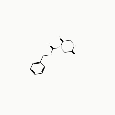 O=C1CN(C(=O)OCc2ccccc2)C(=O)CN1